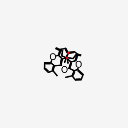 C=CCC1(C)C=CC=C2Oc3cccc(C)c3C(OC3=C4C(=CC=CC4(C)CC=C)Oc4cccc(C)c43)=C21